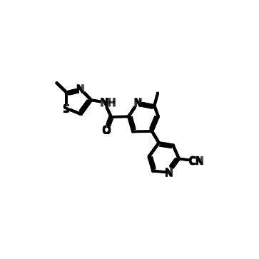 Cc1cc(-c2ccnc(C#N)c2)cc(C(=O)Nc2csc(C)n2)n1